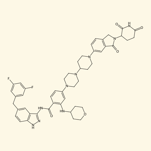 O=C1CCC(N2Cc3ccc(N4CCC(N5CCN(c6ccc(C(=O)Nc7n[nH]c8ccc(Cc9cc(F)cc(F)c9)cc78)c(NC7CCOCC7)c6)CC5)CC4)cc3C2=O)C(=O)N1